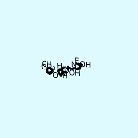 COc1ccc(OC2C[C@@H]3CN(CC(O)c4ccc(O)c(F)n4)C[C@@H]3C2)cc1